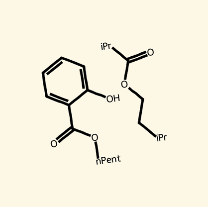 CC(C)CCOC(=O)C(C)C.CCCCCOC(=O)c1ccccc1O